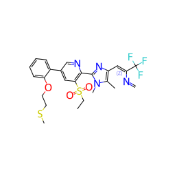 C=N/C(=C\c1nc(-c2ncc(-c3ccccc3OCCSC)cc2S(=O)(=O)CC)n(C)c1C)C(F)(F)F